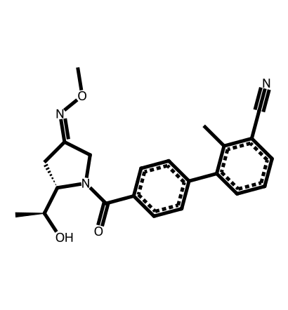 CO/N=C1/C[C@@H]([C@H](C)O)N(C(=O)c2ccc(-c3cccc(C#N)c3C)cc2)C1